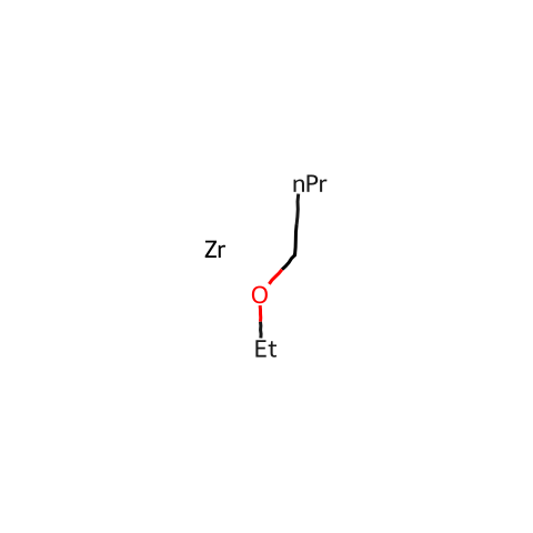 CCCCOCC.[Zr]